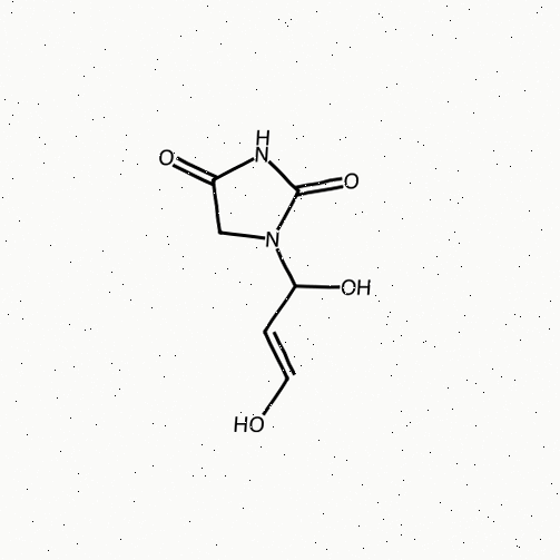 O=C1CN(C(O)C=CO)C(=O)N1